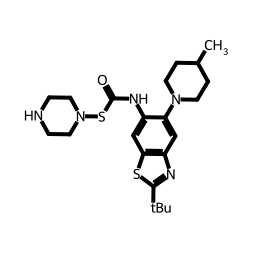 CC1CCN(c2cc3nc(C(C)(C)C)sc3cc2NC(=O)SN2CCNCC2)CC1